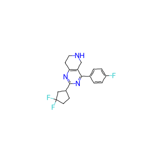 Fc1ccc(-c2nc(C3CCC(F)(F)C3)nc3c2CNCC3)cc1